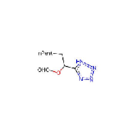 CCCCCCC(O[C]=O)c1nnn[nH]1